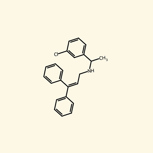 CC(NCC=C(c1ccccc1)c1ccccc1)c1cccc(Cl)c1